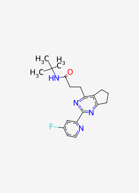 CC(C)(C)NC(=O)CCc1nc(-c2cc(F)ccn2)nc2c1CCC2